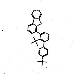 CC(C)(C)c1ccc(-c2cccc(-c3cccc4c3oc3ccccc34)c2C(C)(C)C)cc1